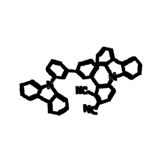 N#Cc1ccc(-n2c3ccccc3c3ccccc32)c(-c2cccc(-c3cccc(-n4c5ccccc5c5ccccc54)c3)c2)c1C#N